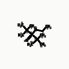 CCOP(=O)(C(C)(C)C)C(C)(C)C